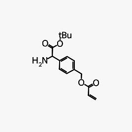 C=CC(=O)OCc1ccc(C(N)C(=O)OC(C)(C)C)cc1